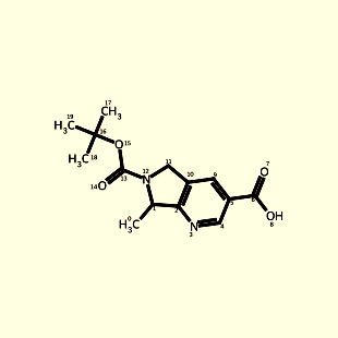 CC1c2ncc(C(=O)O)cc2CN1C(=O)OC(C)(C)C